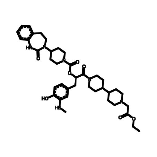 CBc1cc(C[C@@H](OC(=O)N2CCC(N3CCc4ccccc4NC3=O)CC2)C(=O)N2CCC(C3CCN(CC(=O)OCC)CC3)CC2)ccc1O